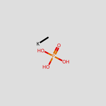 O=P(O)(O)O.[CH3][K]